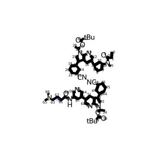 C=CC(=O)N(C)c1cccc(-c2cnc3c(c2)c(-c2cccc(C#N)c2)cn3C(C)OC(=O)C(C)(C)C)c1.CC(OC(=O)C(C)(C)C)n1cc(-c2cccc(C#N)c2)c2cc(-c3cncc(NC(=O)/C=C/CN(C)C)c3)cnc21